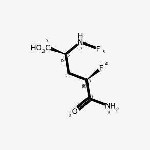 NC(=O)[C@H](F)C[C@H](NF)C(=O)O